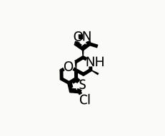 Cc1nocc1[C@@H]1C[C@]2(C[C@H](C)N1)OCCc1cc(Cl)sc12